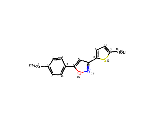 CCCCCCc1ccc(-c2cc(-c3ccc(CCCC)s3)no2)cc1